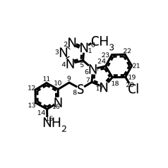 Cn1nnnc1-n1c(SCc2cccc(N)n2)nc2c(Cl)cccc21